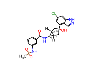 CS(=O)(=O)Nc1cccc(C(=O)N[C@H]2[C@@H]3C[C@](O)(c4cc(Cl)cc5[nH]ncc45)C[C@@H]32)c1